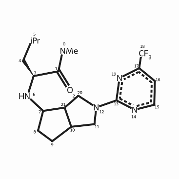 CNC(=O)[C@H](CC(C)C)NC1CCC2CN(c3nccc(C(F)(F)F)n3)CC21